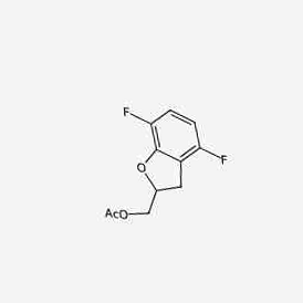 CC(=O)OCC1Cc2c(F)ccc(F)c2O1